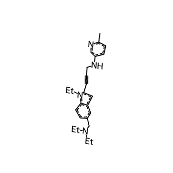 CCN(CC)Cc1ccc2c(c1)cc(C#CCNc1ccc(C)nc1)n2CC